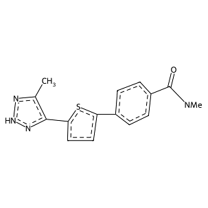 CNC(=O)c1ccc(-c2ccc(-c3n[nH]nc3C)s2)cc1